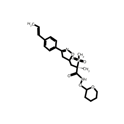 CC=Cc1ccc(C2=NOC(C[C@](C)(C(=O)NOC3CCCCO3)S(C)(=O)=O)C2)cc1